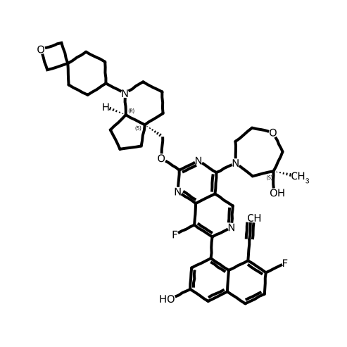 C#Cc1c(F)ccc2cc(O)cc(-c3ncc4c(N5CCOC[C@@](C)(O)C5)nc(OC[C@]56CCC[C@H]5N(C5CCC7(CC5)COC7)CCC6)nc4c3F)c12